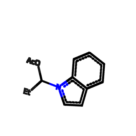 CCC(OC(C)=O)n1ccc2ccccc21